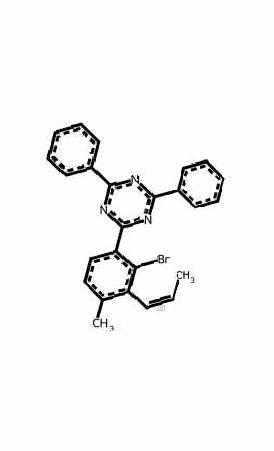 C/C=C\c1c(C)ccc(-c2nc(-c3ccccc3)nc(-c3ccccc3)n2)c1Br